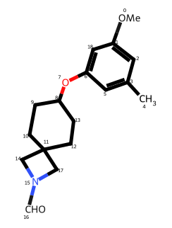 COc1cc(C)cc(OC2CCC3(CC2)CN(C=O)C3)c1